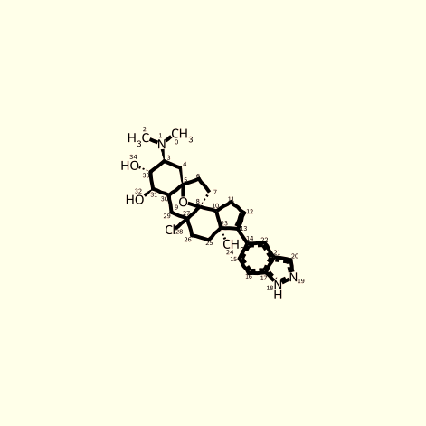 CN(C)[C@H]1C[C@@]23CC[C@]4(O2)C2CC=C(c5ccc6[nH]ncc6c5)[C@@]2(C)CCC4(Cl)CC3[C@@H](O)[C@@H]1O